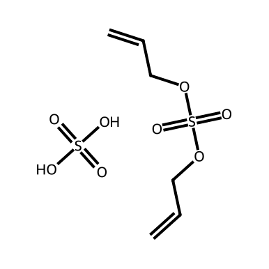 C=CCOS(=O)(=O)OCC=C.O=S(=O)(O)O